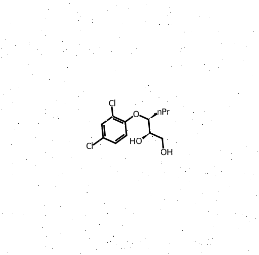 CCC[C@H](Oc1ccc(Cl)cc1Cl)[C@H](O)CO